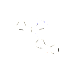 c1ccc2c(c1)oc1ccc(-n3c4cncnc4c4c5ccccc5sc43)cc12